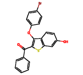 O=C(c1ccccc1)c1sc2cc(O)ccc2c1Oc1ccc(Br)cc1